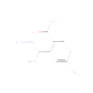 CCCCC(O)c1ccc([N+](=O)[O-])cc1/C(=N/N)NC